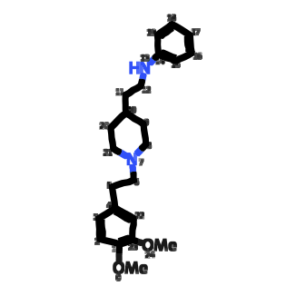 COc1ccc(CCN2CCC(CCNc3ccccc3)CC2)cc1OC